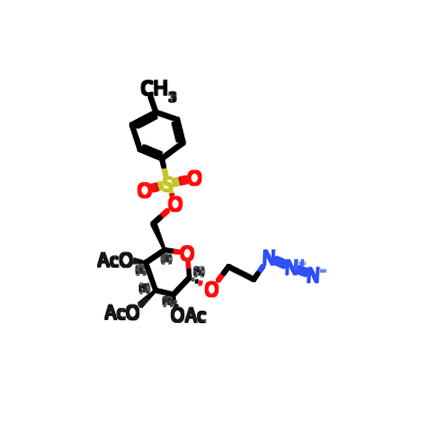 CC(=O)O[C@H]1[C@@H](OC(C)=O)[C@@H](COS(=O)(=O)c2ccc(C)cc2)O[C@H](OCCN=[N+]=[N-])[C@@H]1OC(C)=O